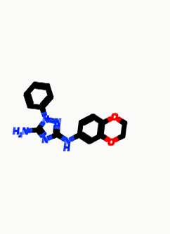 Nc1nc(Nc2ccc3c(c2)OCCO3)nn1-c1ccccc1